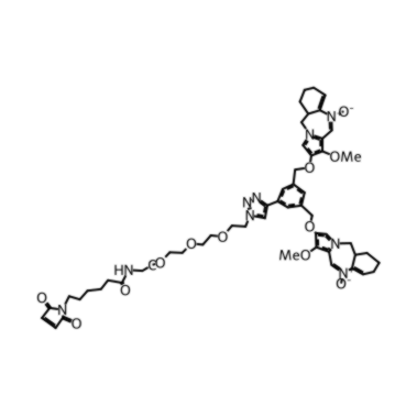 COc1c(OCc2cc(COc3cn4c(c3OC)C=[N+]([O-])C3=CCCCC3C4)cc(-c3cn(CCOCCOCCOCCNC(=O)CCCCCN4C(=O)C=CC4=O)nn3)c2)cn2c1C=[N+]([O-])C1=CCCCC1C2